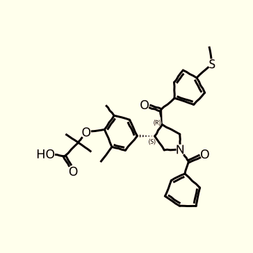 CSc1ccc(C(=O)[C@H]2CN(C(=O)c3ccccc3)C[C@@H]2c2cc(C)c(OC(C)(C)C(=O)O)c(C)c2)cc1